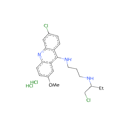 CCC(CCl)NCCCNc1c2ccc(Cl)cc2nc2ccc(OC)cc12.Cl.Cl